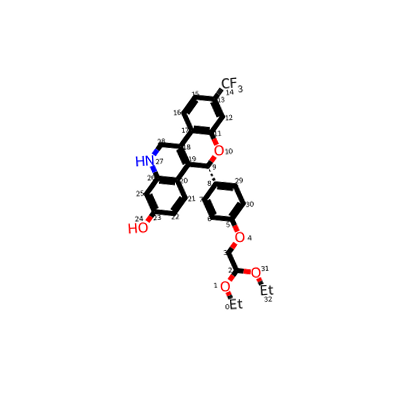 CCOC(COc1ccc([C@H]2Oc3cc(C(F)(F)F)ccc3C3=C2c2ccc(O)cc2NC3)cc1)OCC